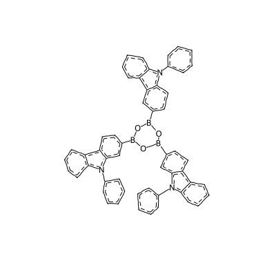 c1ccc(-n2c3ccccc3c3cc(B4OB(c5ccc6c7ccccc7n(-c7ccccc7)c6c5)OB(c5ccc6c7ccccc7n(-c7ccccc7)c6c5)O4)ccc32)cc1